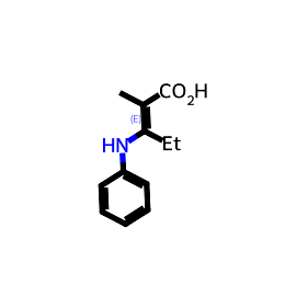 CC/C(Nc1ccccc1)=C(/C)C(=O)O